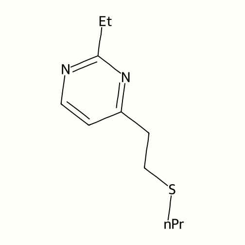 CCCSCCc1ccnc(CC)n1